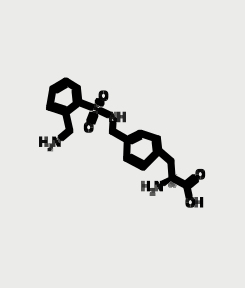 NCc1ccccc1S(=O)(=O)NCc1ccc(C[C@H](N)C(=O)O)cc1